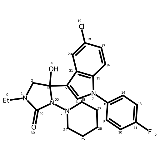 CCN1CC(O)(c2cn(-c3ccc(F)cc3)c3ccc(Cl)cc23)N(N2CCCCC2)C1=O